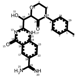 Cc1ccc(N2CCOC(C(O)c3nc(=O)c4cc(C(=N)N)ccc4[nH]3)C2=O)cc1